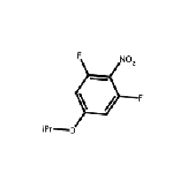 CC(C)Oc1cc(F)c([N+](=O)[O-])c(F)c1